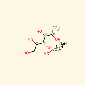 O=C(O)O.O=C(O)[C@H](O)[C@@H](O)[C@H](O)[C@H](O)CO.[NaH].[NaH]